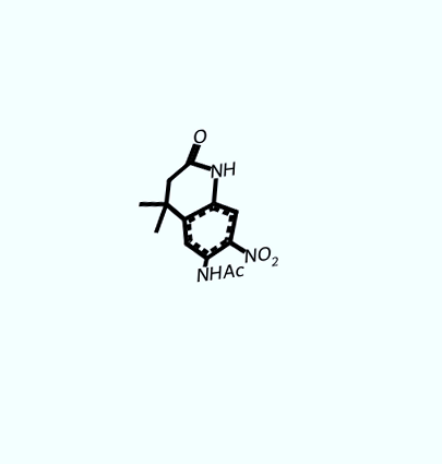 CC(=O)Nc1cc2c(cc1[N+](=O)[O-])NC(=O)CC2(C)C